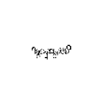 CON=C(C)C(=O)N1CCCC(Nc2cc(C(=O)NCC(O)CN3CCc4ccccc4C3)ncn2)C1